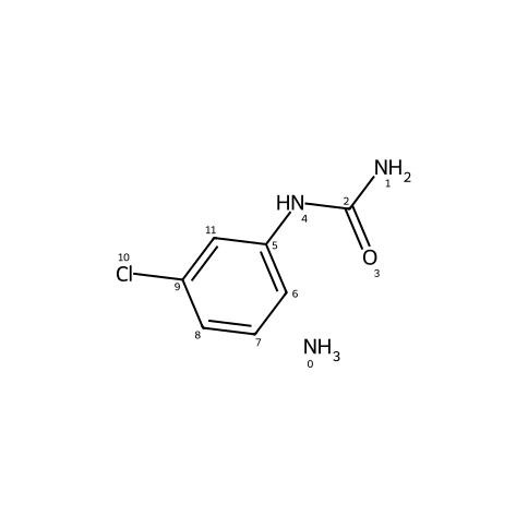 N.NC(=O)Nc1cccc(Cl)c1